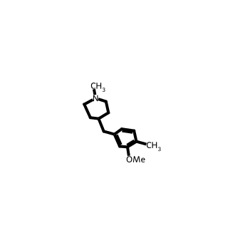 COc1cc(CC2CCN(C)CC2)ccc1C